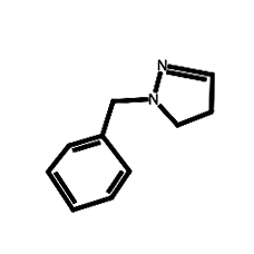 C1=NN(Cc2ccccc2)CC1